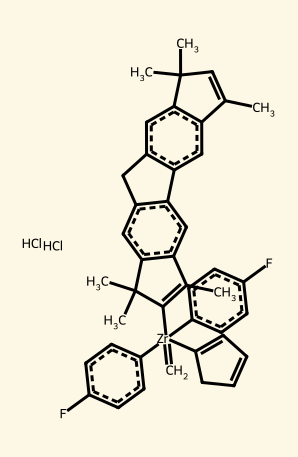 Cl.Cl.[CH2]=[Zr]([C]1=CC=CC1)([C]1=C(C)c2cc3c(cc2C1(C)C)Cc1cc2c(cc1-3)C(C)=CC2(C)C)([c]1ccc(F)cc1)[c]1ccc(F)cc1